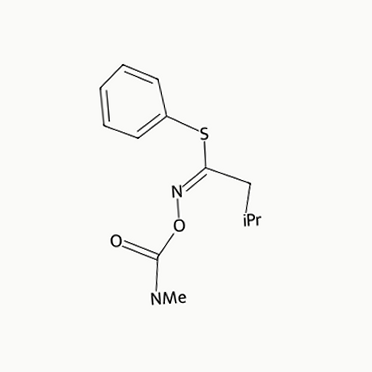 CNC(=O)ON=C(CC(C)C)Sc1ccccc1